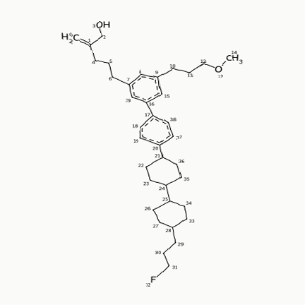 C=C(CO)CCCc1cc(CCCOC)cc(-c2ccc(C3CCC(C4CCC(CCCF)CC4)CC3)cc2)c1